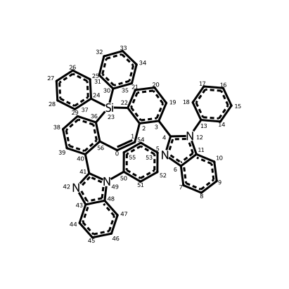 C1=Cc2c(-c3nc4ccccc4n3-c3ccccc3)cccc2[Si](c2ccccc2)(c2ccccc2)c2cccc(-c3nc4ccccc4n3-c3ccccc3)c21